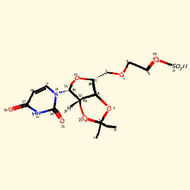 CC1(C)OC2[C@@H](COCCOS(=O)(=O)O)O[C@@H](n3ccc(=O)[nH]c3=O)[C@H]2O1